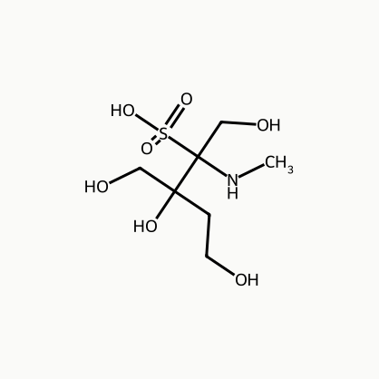 CNC(CO)(C(O)(CO)CCO)S(=O)(=O)O